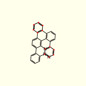 c1ccc(-c2cccc(-c3ccnnn3)c2-c2c(-c3ccccc3)ccc3c4ccccc4c4ccccc4c23)cc1